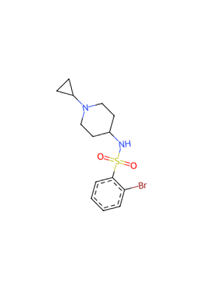 O=S(=O)(NC1CCN(C2CC2)CC1)c1ccccc1Br